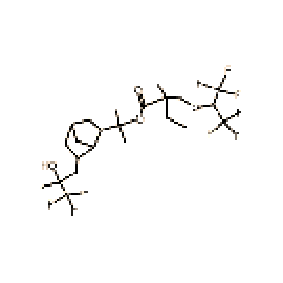 CCC(C)(COC(C(F)(F)F)C(F)(F)F)C(=O)OC(C)(C)C1CC2CC(CC(C)(O)C(F)(F)F)C1C2